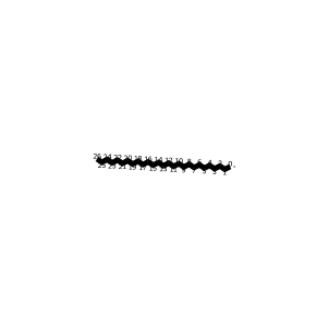 [CH2]CCCCCCCCCCCCCCCCCCCCCCCCCC